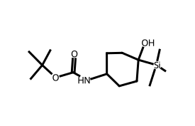 CC(C)(C)OC(=O)NC1CCC(O)([Si](C)(C)C)CC1